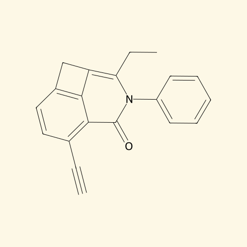 C#Cc1ccc2c3c(c(CC)n(-c4ccccc4)c(=O)c13)C2